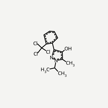 Cc1c(O)c(-c2ccccc2C(Cl)(Cl)Cl)nn1C(C)C